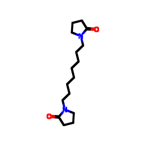 O=C1CCCN1CCCCCCCCN1CCCC1=O